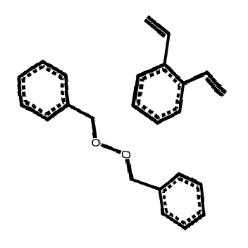 C=Cc1ccccc1C=C.c1ccc(COOCc2ccccc2)cc1